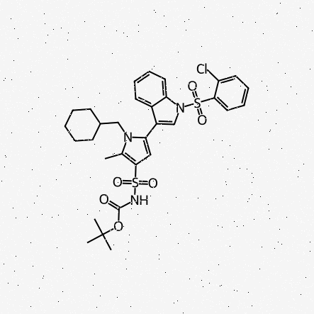 Cc1c(S(=O)(=O)NC(=O)OC(C)(C)C)cc(-c2cn(S(=O)(=O)c3ccccc3Cl)c3ccccc23)n1CC1CCCCC1